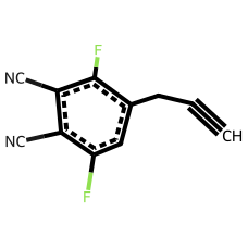 C#CCc1cc(F)c(C#N)c(C#N)c1F